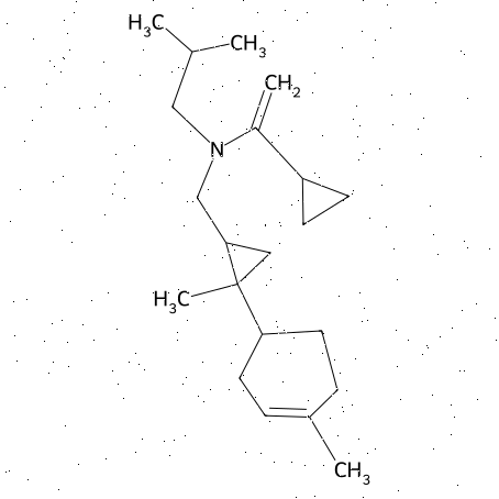 C=C(C1CC1)N(CC(C)C)CC1CC1(C)C1CC=C(C)CC1